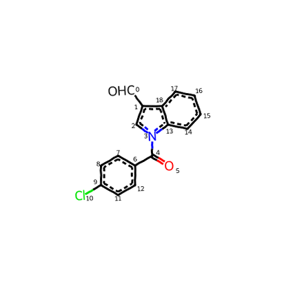 O=Cc1cn(C(=O)c2ccc(Cl)cc2)c2ccccc12